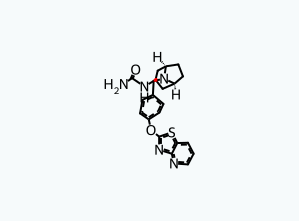 NC(=O)NC1C[C@H]2CC[C@@H](C1)N2Cc1ccc(Oc2nc3ncccc3s2)cc1